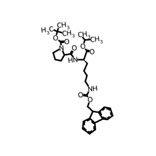 CC(C)OC(=O)[C@@H](CCCCNC(=O)OCC1c2ccccc2-c2ccccc21)NC(=O)C1CCCN1C(=O)OC(C)(C)C